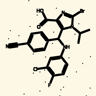 CC(C)n1c(Br)nc(C(=O)O)c1C(Nc1ccc(F)c(Cl)c1)c1ccc(C#N)cc1